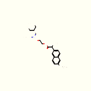 COc1ccc2cc(C(C)C(=O)OCCON(C=O)C[C@H](CC(=O)O)CC(C)C)ccc2c1